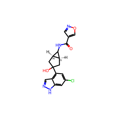 O=C(NC1[C@H]2CC(O)(c3cc(Cl)cc4[nH]ncc34)C[C@@H]12)c1cnoc1